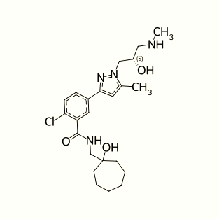 CNC[C@H](O)Cn1nc(-c2ccc(Cl)c(C(=O)NCC3(O)CCCCCC3)c2)cc1C